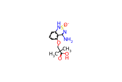 CC(C)(COc1cccc2c1C(N)=N[S+]([O-])N2)C(=O)O